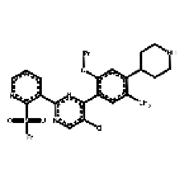 Cc1cc(-c2nc(-c3cccnc3S(=O)(=O)C(C)C)ncc2Cl)c(OC(C)C)cc1C1CCNCC1